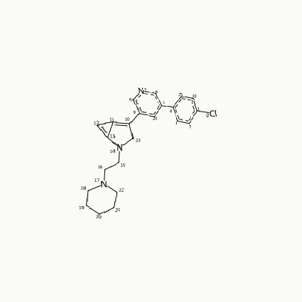 Clc1ccc(-c2cncc(C3=C4C=C4N(CCN4CCCCC4)C3)c2)cc1